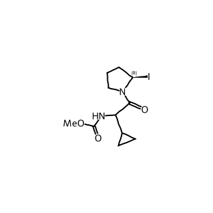 COC(=O)NC(C(=O)N1CCC[C@H]1I)C1CC1